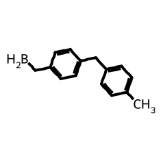 BCc1ccc(Cc2ccc(C)cc2)cc1